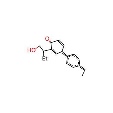 CC=c1ccc(=C2C=CC(=O)C(C(CC)CO)=C2)cc1